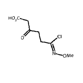 CON=C(Cl)CCC(=O)CC(=O)O